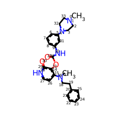 CN1CCN(c2cccc(NC(=O)Oc3c(N(C)CCc4ccccc4)cc[nH]c3=O)c2)CC1